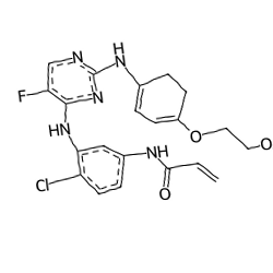 C=CC(=O)Nc1ccc(Cl)c(Nc2nc(NC3=CC=C(OCCOC)CC3)ncc2F)c1